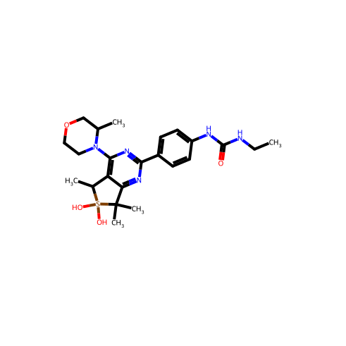 CCNC(=O)Nc1ccc(-c2nc(N3CCOCC3C)c3c(n2)C(C)(C)S(O)(O)C3C)cc1